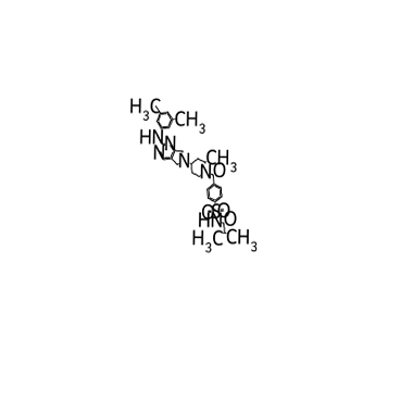 Cc1cc(C)cc(Nc2ncc3c(n2)CN([C@H]2CCN(C(=O)c4ccc(S(=O)(=O)NC(=O)C(C)C)cc4)[C@@H](C)C2)C3)c1